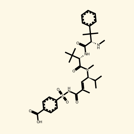 CN[C@H](C(=O)N[C@H](C(=O)N(C)[C@H](C=C(C)C(=O)NS(=O)(=O)c1ccc(C(=O)O)cc1)C(C)C)C(C)(C)C)C(C)(C)c1ccccc1